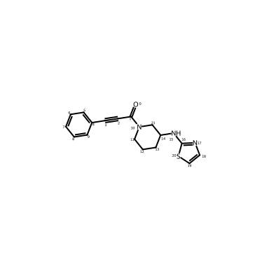 O=C(C#Cc1ccccc1)N1CCCC(Nc2nccs2)C1